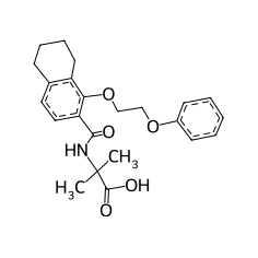 CC(C)(NC(=O)c1ccc2c(c1OCCOc1ccccc1)CCCC2)C(=O)O